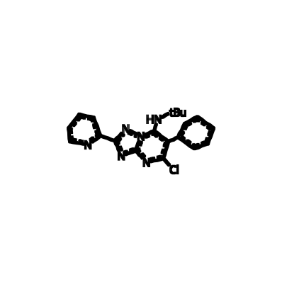 CC(C)(C)Nc1c(-c2ccccc2)c(Cl)nc2nc(-c3ccccn3)nn12